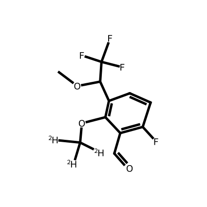 [2H]C([2H])([2H])Oc1c(C(OC)C(F)(F)F)ccc(F)c1C=O